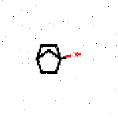 OC12[CH]CC(CC1)C2